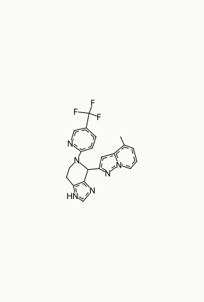 Cc1cccn2nc(C3c4nc[nH]c4CCN3c3ccc(C(F)(F)F)cn3)cc12